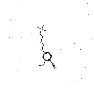 CCc1cc(OCOCC[Si](C)(C)C)ccc1C#N